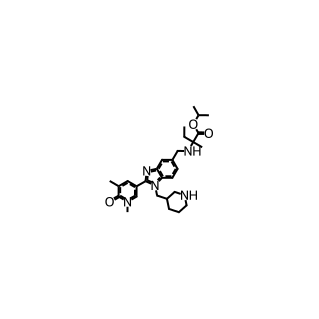 CCC(C)(NCc1ccc2c(c1)nc(-c1cc(C)c(=O)n(C)c1)n2CC1CCCNC1)C(=O)OC(C)C